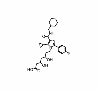 O=C(O)C[C@H](O)C[C@H](O)CCn1c(-c2ccc(F)cc2)nc(C(=O)NCC2CCCCC2)c1C1CC1